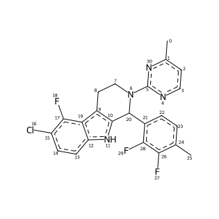 Cc1ccnc(N2CCc3c([nH]c4ccc(Cl)c(F)c34)C2c2ccc(C)c(F)c2F)n1